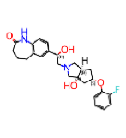 O=C1CCCc2cc([C@@H](O)CN3C[C@H]4C[C@H](Oc5ccccc5F)C[C@@]4(O)C3)ccc2N1